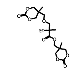 CCC(C)(COCC1(C)COC(=O)OC1)C(=O)OCC1(C)COC(=O)OC1